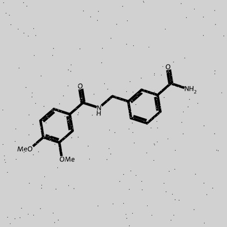 COc1ccc(C(=O)NCc2cccc(C(N)=O)c2)cc1OC